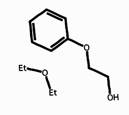 CCOCC.OCCOc1ccccc1